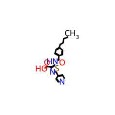 CCCCCc1ccc(C(=O)Nc2sc(-c3ccncc3)nc2C(=O)O)cc1